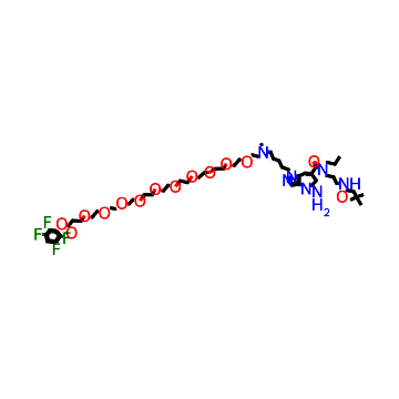 CCCN(CCCNC(=O)CC(C)(C)C)C(=O)C1=Cc2c(cnn2CCCCCN(C)CCOCCOCCOCCOCCOCCOCCOCCOCCOCCOCCC(=O)Oc2c(F)c(F)cc(F)c2F)N=C(N)C1